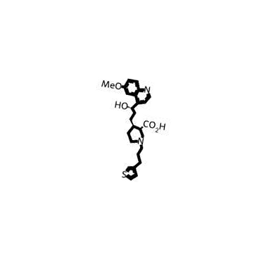 COc1ccc2nccc([C@@H](O)CC[C@@H]3CCN(CCCc4ccsc4)C[C@@H]3C(=O)O)c2c1